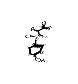 Cc1ccc([S+]([O-])C(F)C(F)C(=O)F)cc1